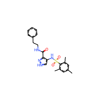 Cc1cc(C)c(S(=O)(=O)Nc2c[nH]nc2C(=O)NCCc2ccccc2)c(C)c1